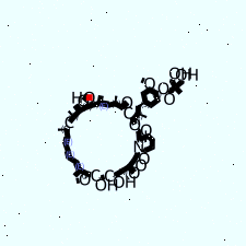 C=C1[C@H](C)C[C@H](C)/C=C/C=C/C=C(\C)[C@@H](OC)CC(O)CC(O)[C@@H](C)C(=O)C(=O)C(=O)N2CCCC[C@H]2C(=O)O[C@H]([C@H](C)C[C@@H]2CC[C@@H](OC(=O)C(C)(CO)CO)[C@H](OC)C2)CC(=O)[C@H](C)/C=C(\C)[C@@H](O)[C@H]1OC